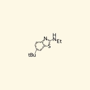 CCNc1nc2ccc(C(C)(C)C)cc2s1